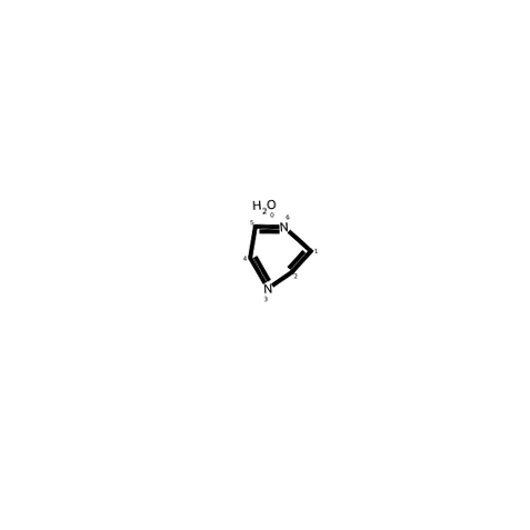 O.c1cnccn1